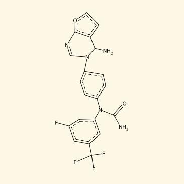 NC(=O)N(c1ccc(N2C=Nc3occc3C2N)cc1)c1cc(F)cc(C(F)(F)F)c1